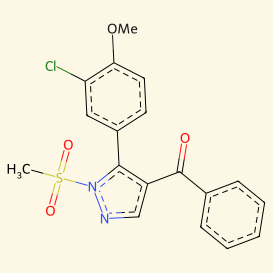 COc1ccc(-c2c(C(=O)c3ccccc3)cnn2S(C)(=O)=O)cc1Cl